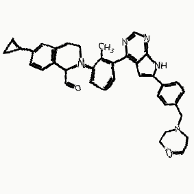 Cc1c(-c2ncnc3[nH]c(-c4ccc(CN5CCOCC5)cc4)cc23)cccc1N1CCc2cc(C3CC3)ccc2C1C=O